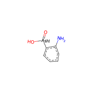 Nc1ccccc1[AsH](=O)O